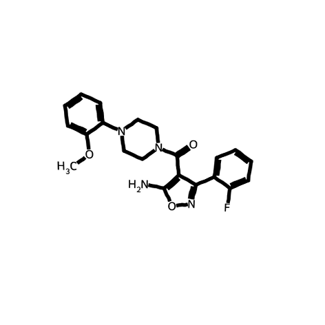 COc1ccccc1N1CCN(C(=O)c2c(-c3ccccc3F)noc2N)CC1